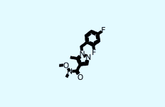 CON(C)C(=O)c1cnn(Cc2ccc(F)cc2F)c1C